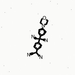 N#CC(C#N)c1ccc(C(C#N)(C#N)c2ccc(N3CCOCC3)cc2)cc1